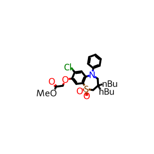 CCCCC1(CCCC)CN(c2ccccc2)c2cc(Cl)c(OCC(=O)OC)cc2S(=O)(=O)C1